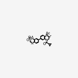 CC(=O)N1c2ccc(-c3ccc4c(c3)N(C)S(=O)(=O)C=N4)cc2N(C(=O)C2CC2)C[C@@H]1C